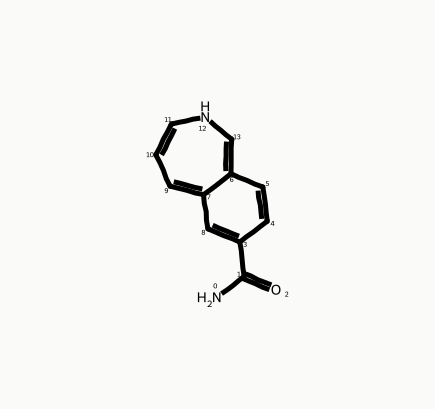 NC(=O)c1ccc2c(c1)=CC=CNC=2